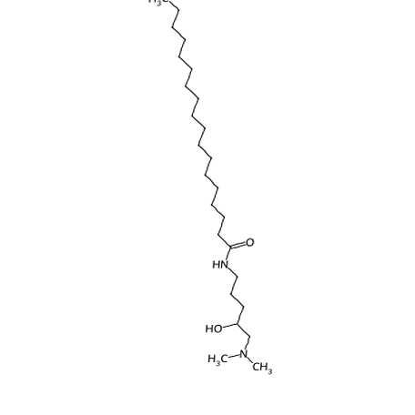 CCCCCCCCCCCCCCCCCC(=O)NCCCC(O)CN(C)C